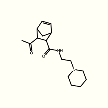 CC(=O)C1C2C=CC(C2)C1C(=O)NCCN1CCCCC1